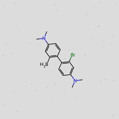 Bc1cc(N(C)C)ccc1-c1ccc(N(C)C)cc1Br